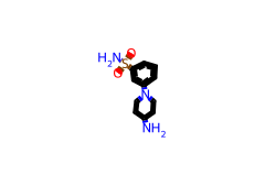 NC1CCN(c2cccc(S(N)(=O)=O)c2)CC1